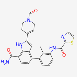 Cc1c(NC(=O)c2nccs2)cccc1-c1ccc(C(N)=O)c2[nH]c(C3=CCN(C=O)CC3)cc12